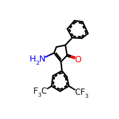 NC1=C(c2cc(C(F)(F)F)cc(C(F)(F)F)c2)C(=O)C(c2ccccc2)C1